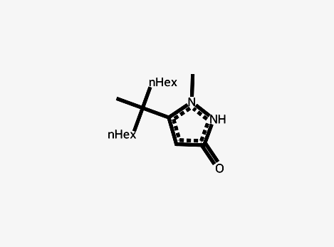 CCCCCCC(C)(CCCCCC)c1cc(=O)[nH]n1C